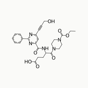 CCOC(=O)N1CCN(C(=O)C(CCC(=O)O)NC(=O)c2cc(C#CCO)nc(-c3ccccc3)n2)CC1